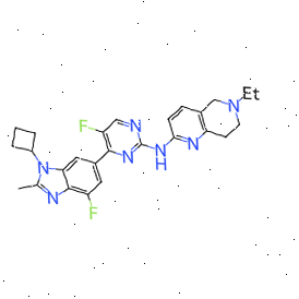 CCN1CCc2nc(Nc3ncc(F)c(-c4cc(F)c5nc(C)n(C6CCC6)c5c4)n3)ccc2C1